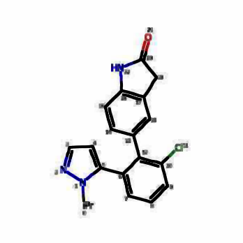 CC(C)n1nccc1-c1cccc(Cl)c1-c1ccc2c(c1)CC(=O)N2